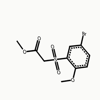 COC(=O)CS(=O)(=O)c1cc(Br)ccc1OC